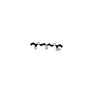 C=CC(=O)OCCNCCOC(O)C=C